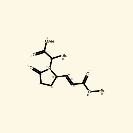 COC(=O)C(N1C(=O)CC[C@@H]1/C=C/C(=O)OC(C)(C)C)C(C)(C)C